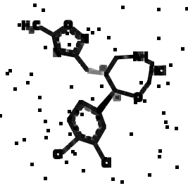 Cc1nc(C[C@@H]2CNCCO[C@H]2c2ccc(Cl)c(Cl)c2)no1.Cl